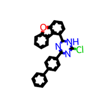 ClC1=NC(c2ccc(-c3ccccc3)cc2)=NC(c2cccc3oc4ccccc4c23)N1